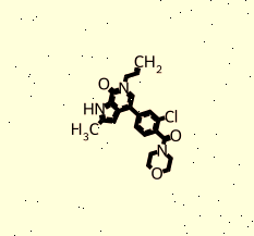 C=CCn1cc(-c2ccc(C(=O)N3CCOCC3)c(Cl)c2)c2cc(C)[nH]c2c1=O